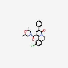 CC1CN(C(=O)c2cc(-c3ccccc3)c(=O)n3c2-c2cc(Cl)ccc2CC3)CC(C)O1